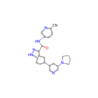 N#Cc1ccc(NC(=O)c2n[nH]c3ccc(-c4cncc(N5CCCC5)c4)cc23)cn1